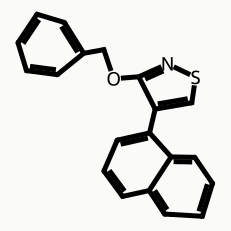 c1ccc(COc2nscc2-c2cccc3ccccc23)cc1